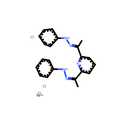 CC(=NNc1ccccc1)c1cccc(C(C)=NNc2ccccc2)n1.[Cl-].[Cl-].[Cl-].[Fe+3]